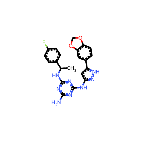 CC(Nc1nc(N)nc(Nc2cc(-c3ccc4c(c3)OCO4)[nH]n2)n1)c1ccc(F)cc1